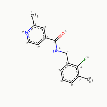 Cc1cc(C(=O)NCc2cccc(C(F)(F)F)c2F)ccn1